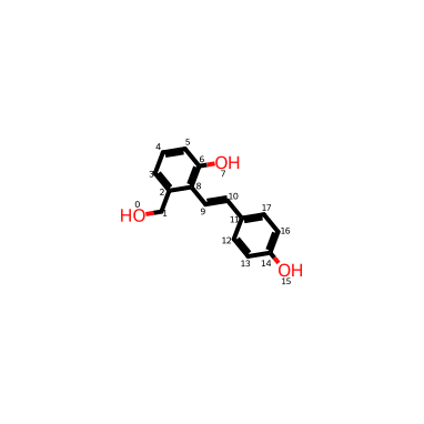 OCc1cccc(O)c1/C=C/c1ccc(O)cc1